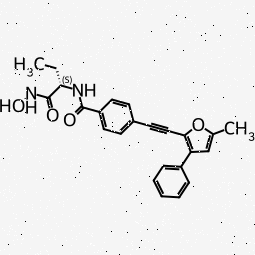 CC[C@H](NC(=O)c1ccc(C#Cc2oc(C)cc2-c2ccccc2)cc1)C(=O)NO